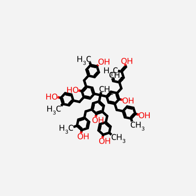 C=C/C(=C\C(C)=C\O)Cc1cc(C(C)(c2cc(CC3=CC(C)C(O)C=C3)c(O)c(Cc3ccc(O)c(C)c3)c2)c2cc(Cc3ccc(O)c(C)c3)c(O)c(Cc3ccc(O)c(C)c3)c2)cc(Cc2ccc(O)c(C)c2)c1O